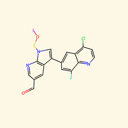 O=Cc1cnc2c(c1)c(-c1cc(F)c3nccc(Cl)c3c1)cn2SOI